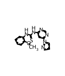 COc1ccccc1NC(=S)Nc1cc(-n2cccn2)ncn1